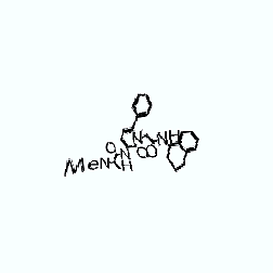 CNC(C)C(=O)Nc1ccc(-c2ccccc2)n(CC(=O)NC2CCCc3ccccc32)c1=O